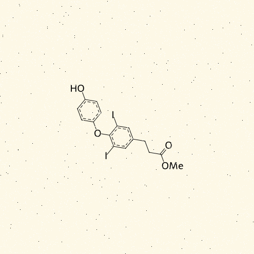 COC(=O)CCc1cc(I)c(Oc2ccc(O)cc2)c(I)c1